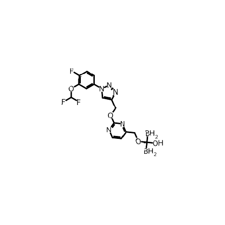 BC(B)(O)OCc1ccnc(OCc2cn(-c3ccc(F)c(OC(F)F)c3)nn2)n1